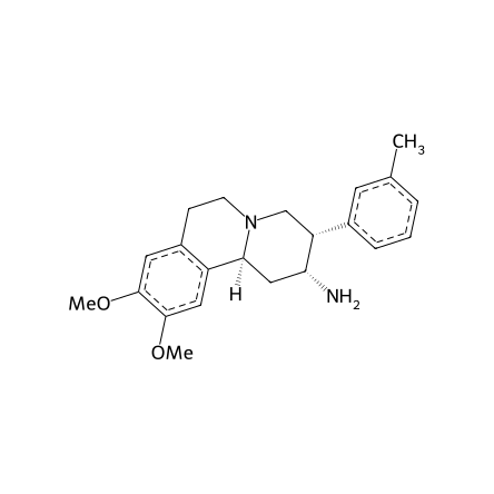 COc1cc2c(cc1OC)[C@@H]1C[C@@H](N)[C@@H](c3cccc(C)c3)CN1CC2